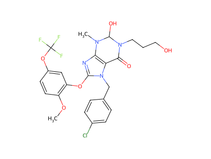 COc1ccc(OC(F)(F)F)cc1Oc1nc2c(n1Cc1ccc(Cl)cc1)C(=O)N(CCCO)C(O)N2C